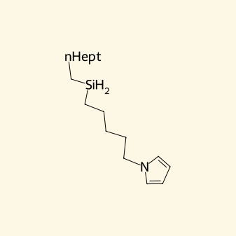 CCCCCCCC[SiH2]CCCCCn1cccc1